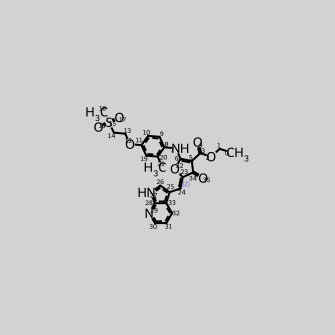 CCOC(=O)C1=C(Nc2ccc(OCCS(C)(=O)=O)cc2C)O/C(=C\c2c[nH]c3ncccc23)C1=O